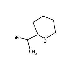 CC(C)C(C)C1CCCCN1